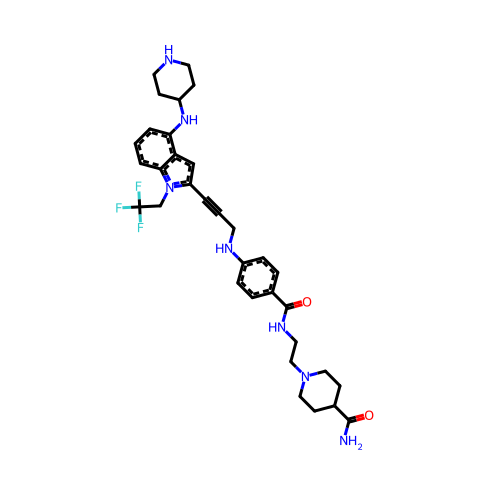 NC(=O)C1CCN(CCNC(=O)c2ccc(NCC#Cc3cc4c(NC5CCNCC5)cccc4n3CC(F)(F)F)cc2)CC1